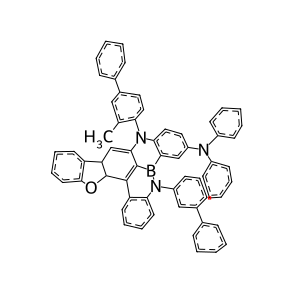 Cc1cc(-c2ccccc2)ccc1N1C2=CC3c4ccccc4OC3C3=C2B(c2cc(N(c4ccccc4)c4ccccc4)ccc21)N(c1cccc(-c2ccccc2)c1)c1ccccc13